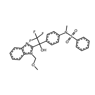 COCn1c(C(O)(c2ccc(N(C)S(=O)(=O)c3ccccc3)cc2)C(F)(F)F)nc2ccccc21